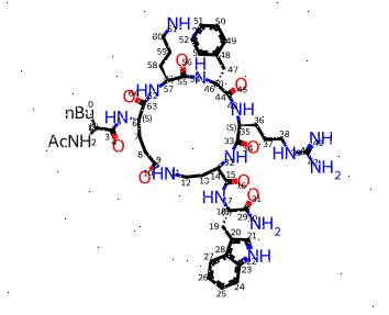 CCCC[C@H](NC(C)=O)C(=O)N[C@H]1CCC(=O)NCCC(C(=O)N[C@@H](Cc2c[nH]c3ccccc23)C(N)=O)NC(=O)[C@H](CCCNC(=N)N)NC(=O)[C@@H](Cc2ccccc2)NC(=O)[C@H](CCCN)NC1=O